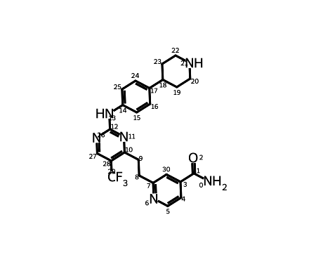 NC(=O)c1ccnc(CCc2nc(Nc3ccc(C4CCNCC4)cc3)ncc2C(F)(F)F)c1